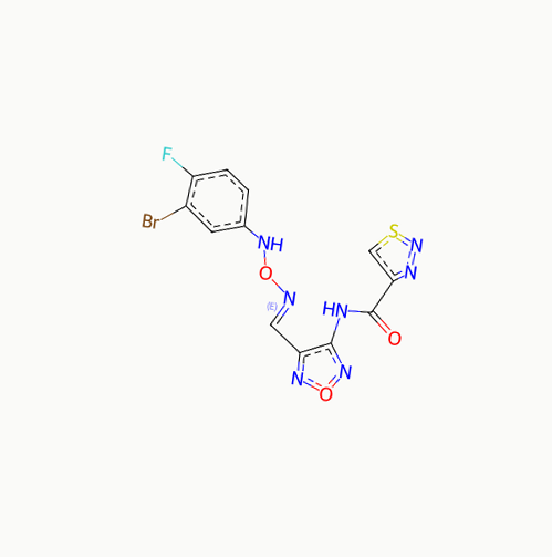 O=C(Nc1nonc1/C=N/ONc1ccc(F)c(Br)c1)c1csnn1